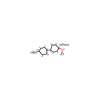 CCCCC[C@]1(OCC)CC[C@@H](C2CCC(CCCC)CC2)CC1